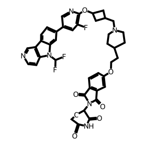 O=C1CCC(N2C(=O)c3ccc(OCCC4CCN(CC5CC(Oc6ncc(-c7ccc8c9cnccc9n(C(F)F)c8c7)cc6F)C5)CC4)cc3C2=O)C(=O)N1